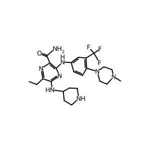 CCc1nc(C(N)=O)c(Nc2ccc(N3CCN(C)CC3)c(C(F)(F)F)c2)nc1NC1CCNCC1